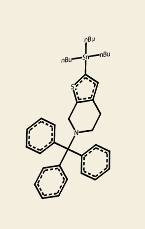 CCC[CH2][Sn]([CH2]CCC)([CH2]CCC)[c]1cc2c(s1)CN(C(c1ccccc1)(c1ccccc1)c1ccccc1)CC2